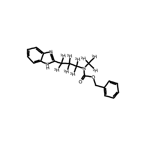 [2H]C([2H])([2H])N(C(=O)OCc1ccccc1)C([2H])([2H])C([2H])([2H])C([2H])([2H])c1nc2ccccc2[nH]1